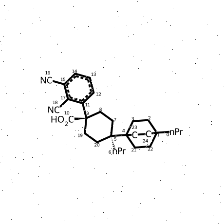 CCCC12CCC([C@]3(CCC)CC[C@@](C(=O)O)(c4cccc(C#N)c4C#N)CC3)(CC1)CC2